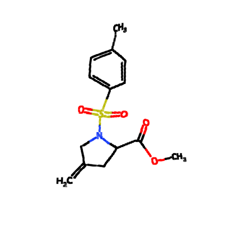 C=C1CC(C(=O)OC)N(S(=O)(=O)c2ccc(C)cc2)C1